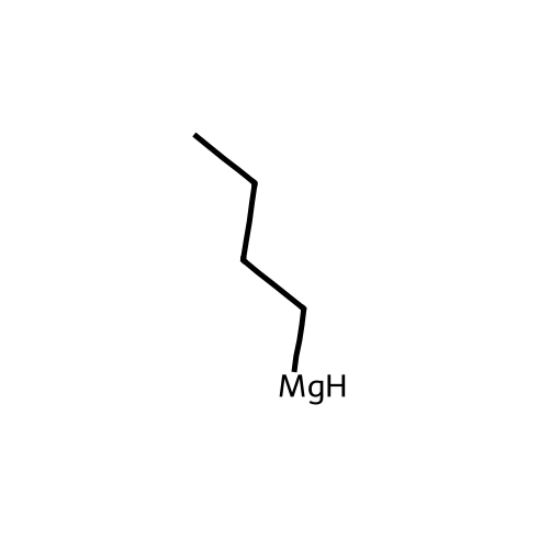 CCC[CH2][MgH]